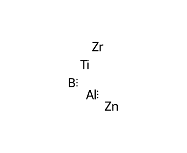 [Al].[B].[Ti].[Zn].[Zr]